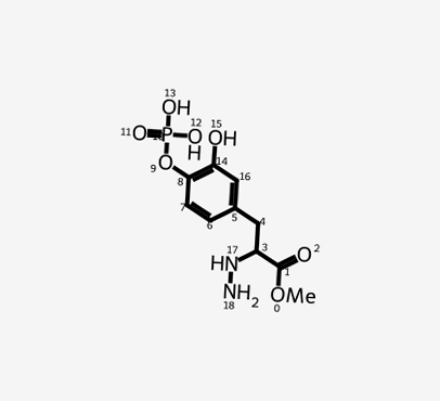 COC(=O)C(Cc1ccc(OP(=O)(O)O)c(O)c1)NN